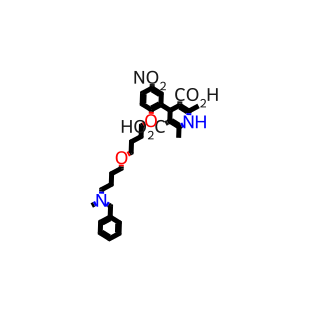 CC1=C(C(=O)O)C(c2cc([N+](=O)[O-])ccc2OCCCCOCCCCN(C)Cc2ccccc2)C(C(=O)O)=C(C)N1